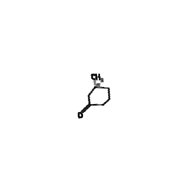 C[C@@H]1CCCC(=O)C1